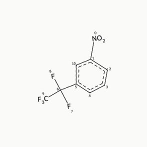 O=[N+]([O-])c1[c]ccc(C(F)(F)C(F)(F)F)c1